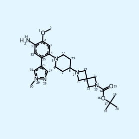 COc1cc(N2CCC(N3CC4(CN(C(=O)OC(C)(C)C)C4)C3)CC2)c(-c2cnn(C)c2)cc1N